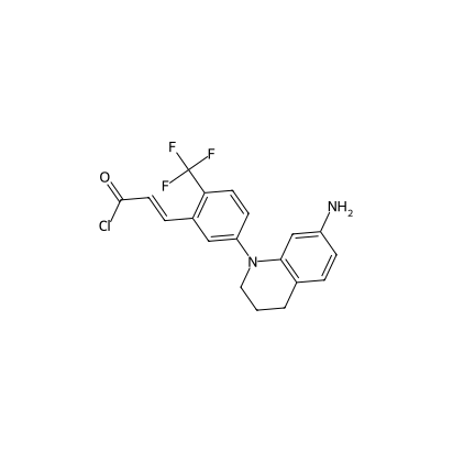 Nc1ccc2c(c1)N(c1ccc(C(F)(F)F)c(/C=C/C(=O)Cl)c1)CCC2